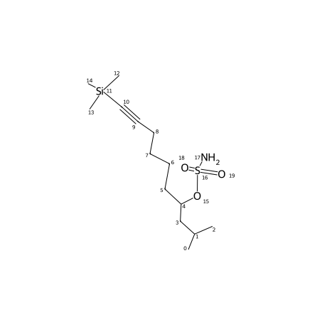 CC(C)CC(CCCCC#C[Si](C)(C)C)OS(N)(=O)=O